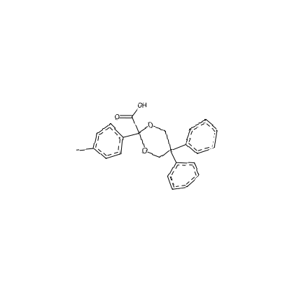 Cc1ccc(C2(C(=O)O)OCC(c3ccccc3)(c3ccccc3)CO2)cc1